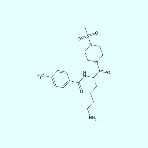 CS(=O)(=O)N1CCN(C(=O)[C@H](CCCCN)NC(=O)c2ccc(C(F)(F)F)cc2)CC1